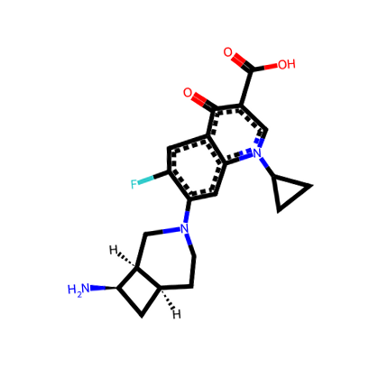 N[C@@H]1C[C@@H]2CCN(c3cc4c(cc3F)c(=O)c(C(=O)O)cn4C3CC3)C[C@@H]21